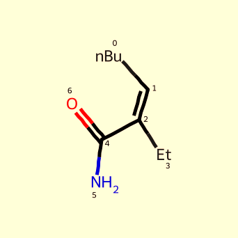 CCCCC=C(CC)C(N)=O